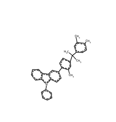 Cc1ccc(C(C)(C)c2ccc(-c3ccc4c(c3)c3ccccc3n4-c3ccccc3)c(C)c2)cc1C